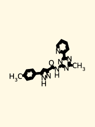 Cc1ccc(-c2cc(C(=O)Nc3nc(C)nc(-c4ccccn4)n3)n[nH]2)cc1